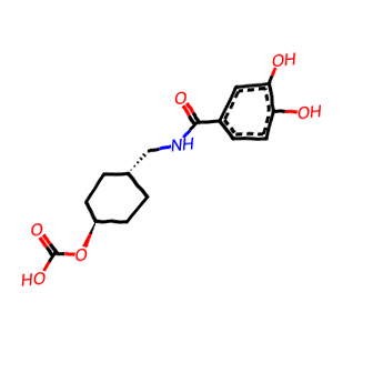 O=C(O)O[C@H]1CC[C@H](CNC(=O)c2ccc(O)c(O)c2)CC1